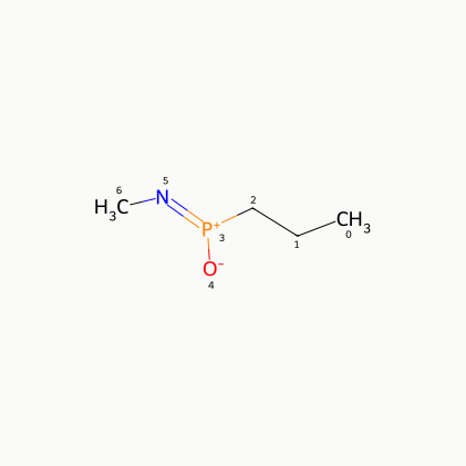 CCC[P+]([O-])=NC